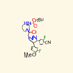 COc1ccc(-c2cn(CC(=O)N3CCCC[C@@H](NC(=O)OC(C)(C)C)C3)nc2-c2ccc(C#N)c(F)c2)cc1F